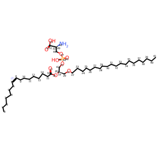 CCCCCCC/C=C\CCCCCCCC(=O)O[C@H](COCCCCCCCCCCCCCCCCCCCC)COP(=O)(O)OC[C@H](N)C(=O)O